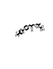 CC(COCC(O)CN1CCN(c2ncc(C(F)(F)F)cn2)CC1)NC(=O)O